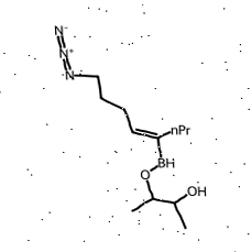 CCC/C(BOC(C)C(C)O)=C\CCCN=[N+]=[N-]